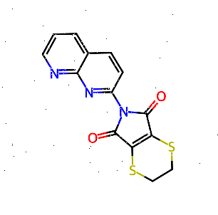 O=C1C2=C(SCCS2)C(=O)N1c1ccc2cccnc2n1